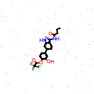 CCCC(=O)Nc1n[nH]c2cc(-c3ccc(OC(=O)C(F)(F)F)c(O)c3)ccc12